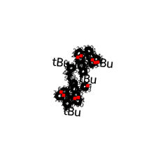 CC(C)(C)c1cc(N2c3cc(C(C)(C)C)ccc3B3c4ccc(C(C)(C)C)cc4N(c4c(-c5ccccc5)cccc4-c4ccccc4)c4cccc2c43)cc(C(C)(C)Cc2ccc3c(c2)B2c4ccccc4N(c4c(-c5ccccc5)cc(C(C)(C)C)cc4-c4ccccc4)c4cccc(c42)N3c2ccccc2)c1